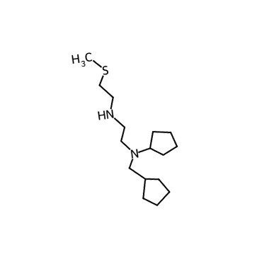 CSCCNCCN(CC1CCCC1)C1CCCC1